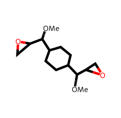 COC(C1CCC(C(OC)C2CO2)CC1)C1CO1